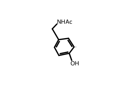 CC(=O)NCc1c[c]c(O)cc1